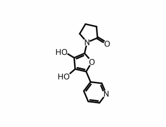 O=C1CCCN1c1oc(-c2cccnc2)c(O)c1O